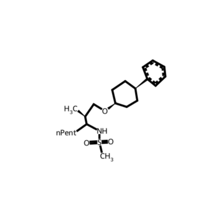 CCCCCC(NS(C)(=O)=O)[C@@H](C)CO[C@H]1CC[C@@H](c2ccccc2)CC1